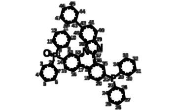 O=P(c1ccccc1)(c1ccccc1)c1ccc2c3ccc(P(c4ccccc4)c4ccccc4)cc3c3nc4ccc(-c5ccccc5)cc4n3c2c1